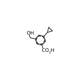 O=C(O)c1cc(CO)cc(C2CC2)c1